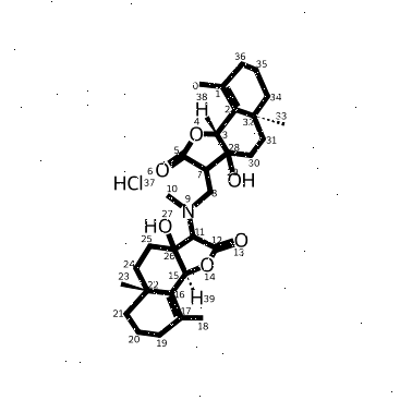 CC1=C2[C@H]3OC(=O)C(CN(C)C4C(=O)O[C@H]5C6=C(C)CCC[C@]6(C)CCC45O)C3(O)CC[C@]2(C)CCC1.Cl